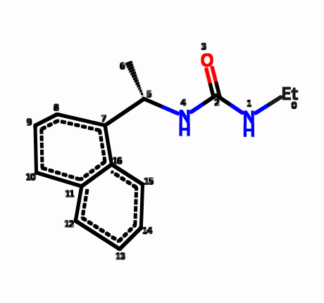 CCNC(=O)N[C@@H](C)c1cccc2ccccc12